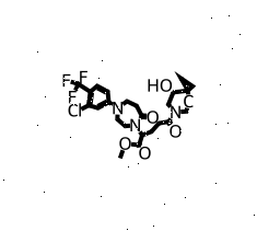 COC(=O)C(CCC(=O)N1CCC2(CC2)C(O)C1)N1CCN(c2ccc(C(F)(F)F)c(Cl)c2)CCC1=O